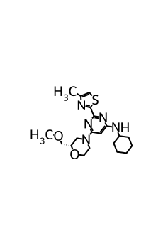 COC[C@@H]1CN(c2cc(NC3CCCCC3)nc(-c3nc(C)cs3)n2)CCO1